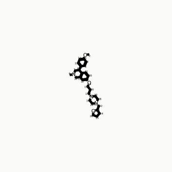 COc1ccc(C2CN(C)Cc3cc(OCCCN4CCN(CC5CCCO5)CC4)ccc32)cc1